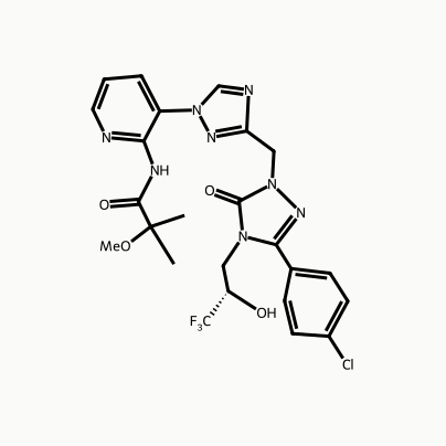 COC(C)(C)C(=O)Nc1ncccc1-n1cnc(Cn2nc(-c3ccc(Cl)cc3)n(C[C@H](O)C(F)(F)F)c2=O)n1